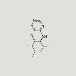 CCC(C)C(=O)[C@@H](Nc1ccncn1)C(C)C